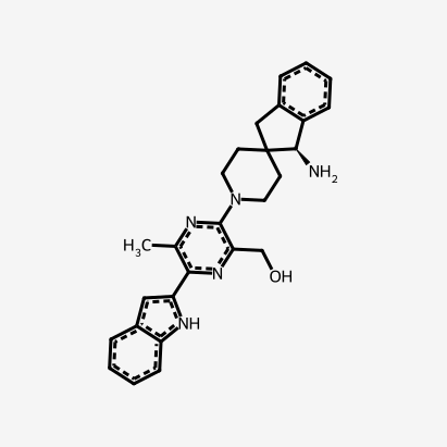 Cc1nc(N2CCC3(CC2)Cc2ccccc2[C@H]3N)c(CO)nc1-c1cc2ccccc2[nH]1